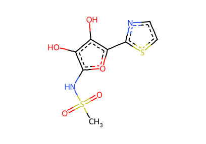 CS(=O)(=O)Nc1oc(-c2nccs2)c(O)c1O